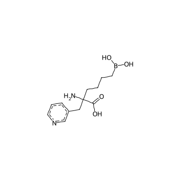 NC(CCCCB(O)O)(Cc1cccnc1)C(=O)O